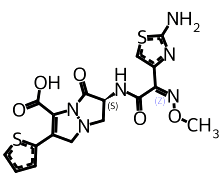 CO/N=C(\C(=O)N[C@H]1CN2CC(c3cccs3)=C(C(=O)O)N2C1=O)c1csc(N)n1